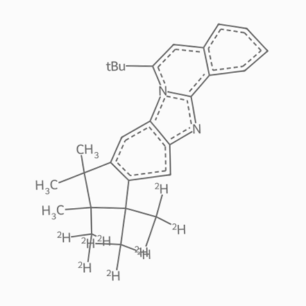 [2H]C([2H])([2H])C1(C)C(C)(C)c2cc3c(cc2C1(C([2H])([2H])[2H])C([2H])([2H])[2H])nc1c2ccccc2cc(C(C)(C)C)n31